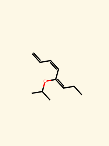 C=C/C=C\C(=C/CC)OC(C)C